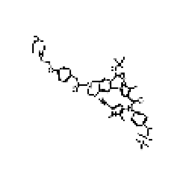 Cc1c(N(C(=O)c2cc(-c3cc4c(cc3C(=O)OC(C)(C)C)CN(C(=O)Cc3ccc(OCCN5CCOCC5)cc3)CC4)n(C)c2C)c2ccc(O[Si](C)(C)C(C)(C)C)cc2)cc(C#N)n1C